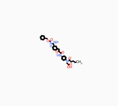 CCCCC(=O)N(CC(=O)O)c1ccc(NC(=O)c2cc3cc(C(=N)NC(=O)OCc4ccccc4)ccc3o2)cc1